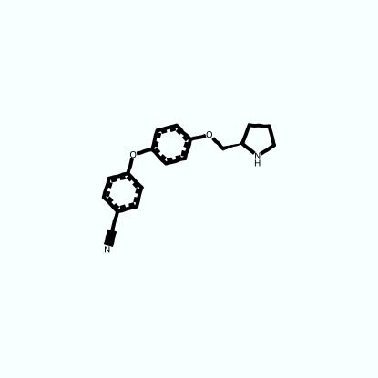 N#Cc1ccc(Oc2ccc(OC[C@H]3CCCN3)cc2)cc1